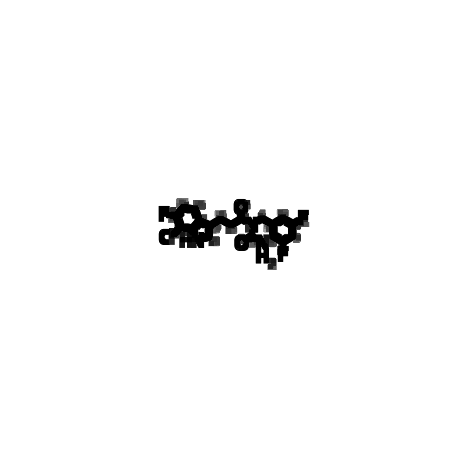 NC(=O)N(Cc1cc(F)cc(F)c1)C(=O)CCc1c[nH]c2c(Cl)c(F)ccc12